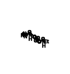 CCNC(=O)c1cccc(S(=O)(=O)c2ccc(CNC(=O)c3cnc4nccn4c3)cc2)c1